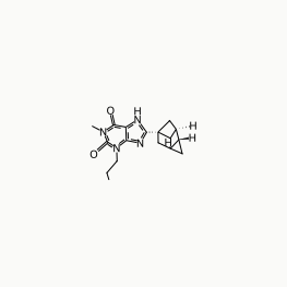 CCCn1c(=O)n(C)c(=O)c2[nH]c([C@]34C[C@H]5C[C@H]5[C@H](C3)C4)nc21